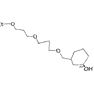 CCOCCCOCCCOCC1CCC[C@@H](O)C1